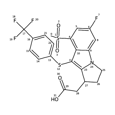 CS(=O)(=O)c1cc(F)cc2c1c(Sc1ccc(C(F)(F)F)cc1)c1n2CCC1CC(=O)O